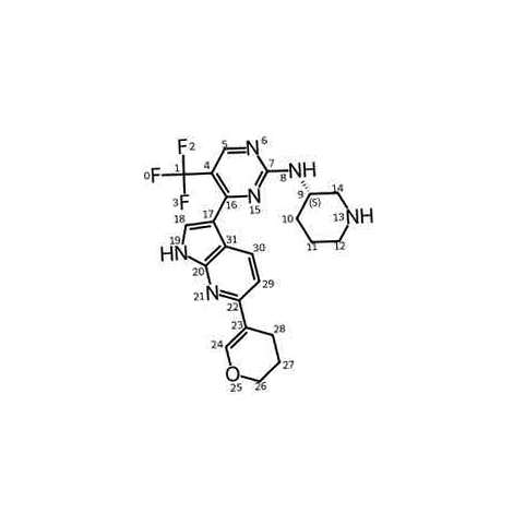 FC(F)(F)c1cnc(N[C@H]2CCCNC2)nc1-c1c[nH]c2nc(C3=COCCC3)ccc12